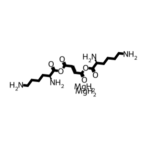 NCCCC[C@H](N)C(=O)OC(=O)/C=C/C(=O)OC(=O)[C@@H](N)CCCCN.[MgH2].[MgH2]